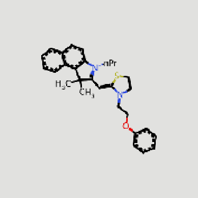 CCC[N+]1=C(/C=C2\SCCN2CCOc2ccccc2)C(C)(C)c2c1ccc1ccccc21